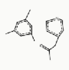 CC(=O)Cc1ccncc1.Cc1cc(C)cc(C)c1